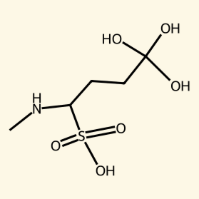 CNC(CCC(O)(O)O)S(=O)(=O)O